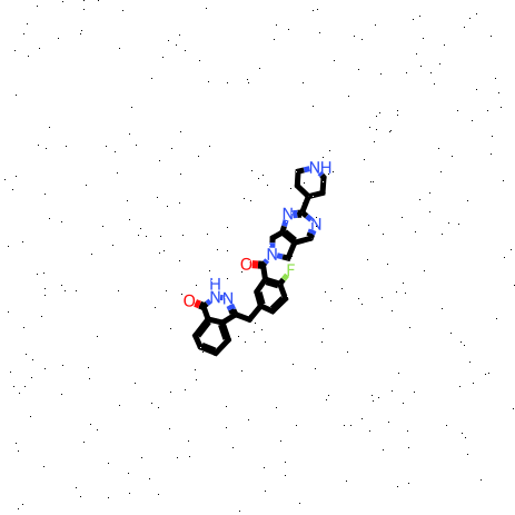 O=C(c1cc(Cc2n[nH]c(=O)c3ccccc23)ccc1F)N1Cc2cnc(C3CCNCC3)nc2C1